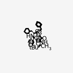 CC(C)(C)CC(C)(C)NC(=O)C(=O)[C@H](COCc1ccccc1)NC(=O)[C@H](CC1CCCCC1)NC(=O)N1CCOCC1